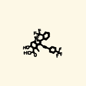 Cc1c(C(=O)O)c(O)cc2c1c(C#Cc1ccc(C(F)(F)F)cc1)c(-c1ccccc1C(F)(F)F)n2C